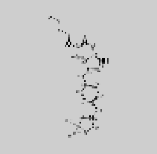 CCCCOc1ncc2[nH]cc(Cc3ccc(CN4CCC(F)(F)C4)cc3)c2n1